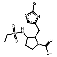 CCS(=O)(=O)N[C@@H]1CCN(C(=O)O)[C@@H]1Cc1csc(Br)n1